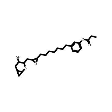 CCC(=O)Oc1cccc(CCCCCCCC2SC2CC2SC3CC3CC2S)c1